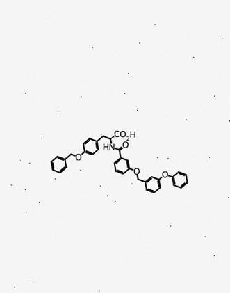 O=C(N[C@@H](Cc1ccc(OCc2ccccc2)cc1)C(=O)O)c1cccc(OCc2cccc(Oc3ccccc3)c2)c1